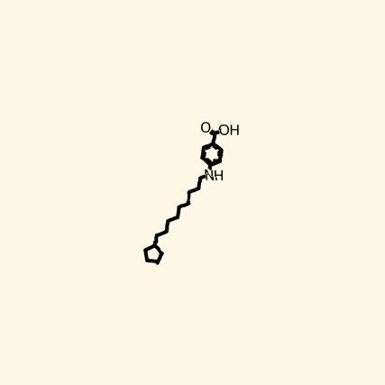 O=C(O)c1ccc(NCCCCCCCCCC2CCCC2)cc1